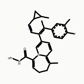 CCCNC(=O)C1=CCCC(C)=C2C=CC(C(/C=C\C3CC3C)=C(/C)c3ccc(F)c(C)c3)=CN12